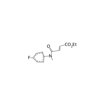 CCOC(=O)/C=C/C(=O)N(C)c1ccc(F)cc1